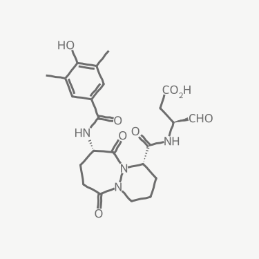 Cc1cc(C(=O)N[C@H]2CCC(=O)N3CCC[C@@H](C(=O)N[C@H](C=O)CC(=O)O)N3C2=O)cc(C)c1O